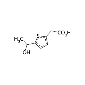 CC(O)c1ccc(CC(=O)O)s1